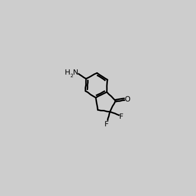 Nc1ccc2c(c1)CC(F)(F)C2=O